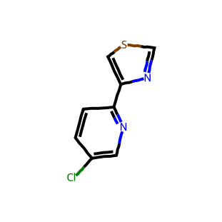 Clc1ccc(-c2cscn2)nc1